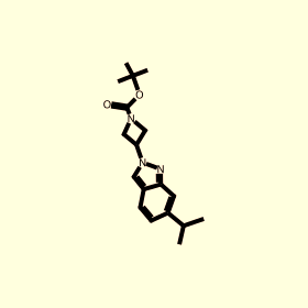 CC(C)c1ccc2cn(C3CN(C(=O)OC(C)(C)C)C3)nc2c1